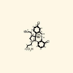 CC(C)(C)C[C@@H]1CN(CCC(=O)O)[C@H](c2cccc(Cl)c2F)[C@@]1(N)c1ccc(Cl)cc1F